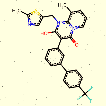 Cc1ncc(C[n+]2c(O)c(-c3cccc(-c4ccc(C(F)(F)F)cc4)c3)c(=O)n3cccc(C)c32)s1